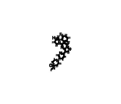 CN=S1(=O)CCN(c2ccc(-c3cnn4ccc(N5CC[C@H]6C[C@]65c5cc(F)ccc5F)nc34)nc2)CC1